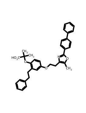 Cc1oc(-c2ccc(-c3ccccc3)cc2)nc1CCOc1ccc(OC(C)(C)C(=O)O)c(CCc2ccccc2)c1